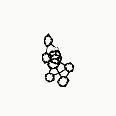 c1ccc2c(c1)Oc1cc(-c3cccc4c3C3(c5ccccc5-c5cc6ccccc6cc53)c3ccccc3-4)cc3cccc-2c13